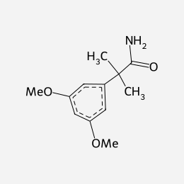 COc1cc(OC)cc(C(C)(C)C(N)=O)c1